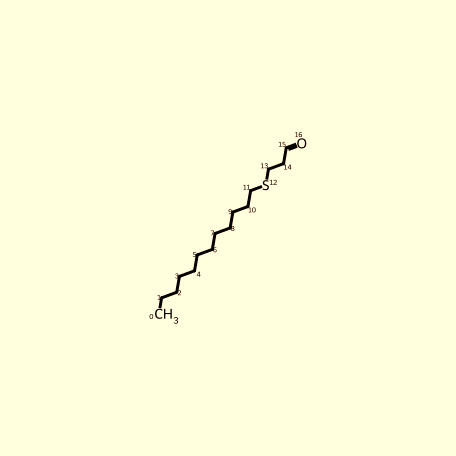 CCCCCCCCCCCCSCCC=O